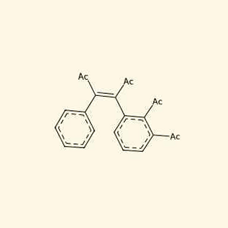 CC(=O)C(=C(C(C)=O)c1cccc(C(C)=O)c1C(C)=O)c1ccccc1